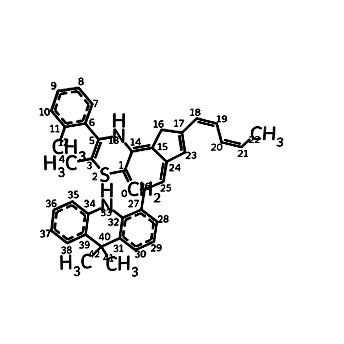 C=C1SC(C)=C(c2ccccc2C)N/C1=C1CC(/C=C\C=C/C)=CC\1=C\Cc1cccc2c1Nc1ccccc1C2(C)C